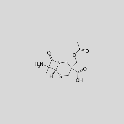 CC(=O)OCC1(C(=O)O)CS[C@H]2N(C1)C(=O)C2(C)N